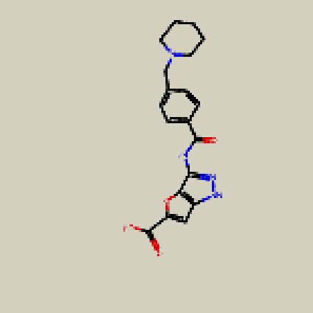 O=C(Nc1n[nH]c2cc(C(=O)O)oc12)c1ccc(CN2CCCCC2)cc1